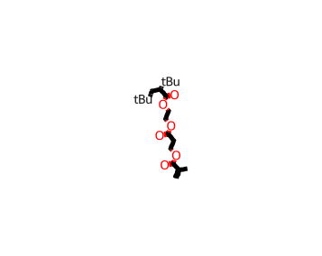 C=C(C)C(=O)OCCC(=O)OCCOC(=O)C(CC(C)(C)C)C(C)(C)C